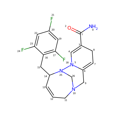 NC(=O)C1=CN2C(=CC1)CN1CC=CC(Cc3c(F)cc(F)cc3F)N2C1